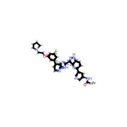 CCCC(=O)Nc1cncc(-c2ccc3[nH]nc(-c4nc5c(-c6cc(F)cc(OCCN7CCCC7)c6)ccnc5[nH]4)c3n2)c1